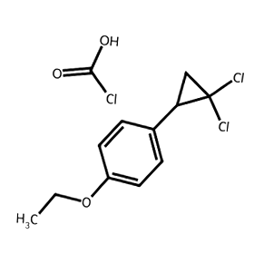 CCOc1ccc(C2CC2(Cl)Cl)cc1.O=C(O)Cl